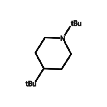 CC(C)(C)C1CCN(C(C)(C)C)CC1